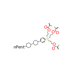 C=C(C)C(=O)OCCCS(CCCOC(=O)C(=C)C)(CCCOC(=O)C(=C)C)c1ccc(C2CCC(C3CCC(CCCCC)CC3)CC2)cc1